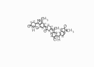 CN1C(=O)Cc2cc(Nc3nc(N(C)[C@@H]4CCN(c5ccc6c(C7CCC(=O)NC7=O)nn(C)c6c5)C(=O)C4)ncc3Cl)ccc21